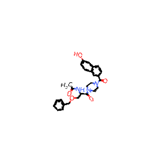 CC(=O)NC(COCc1ccccc1)C(=O)N1CCN(C(=O)c2ccc3cc(O)ccc3c2)CC1